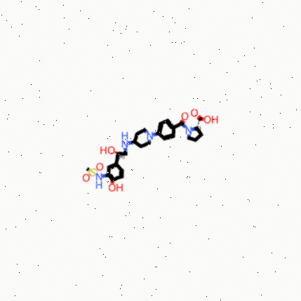 CS(=O)(=O)Nc1cc([C@@H](O)CNC2CCN(c3ccc(C(=O)N4CCC[C@H]4C(=O)O)cc3)CC2)ccc1O